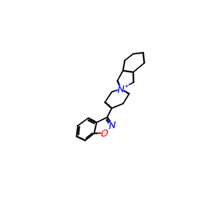 c1ccc2c(C3CC[N+]4(CC3)CC3CCCCC3C4)noc2c1